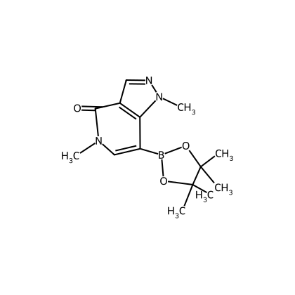 Cn1cc(B2OC(C)(C)C(C)(C)O2)c2c(cnn2C)c1=O